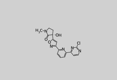 CN1CC[C@@](O)(c2cc(-c3cccc(-c4ccnc(Cl)n4)n3)no2)C1=O